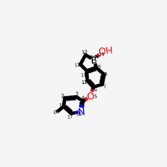 Cc1ccc(Oc2ccc3c(c2)CCB3O)nc1